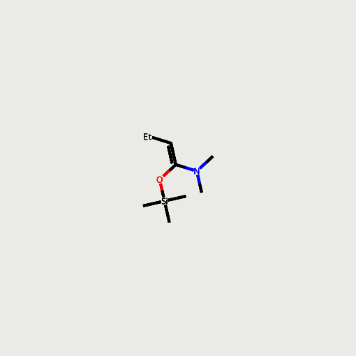 CC/C=C(\O[Si](C)(C)C)N(C)C